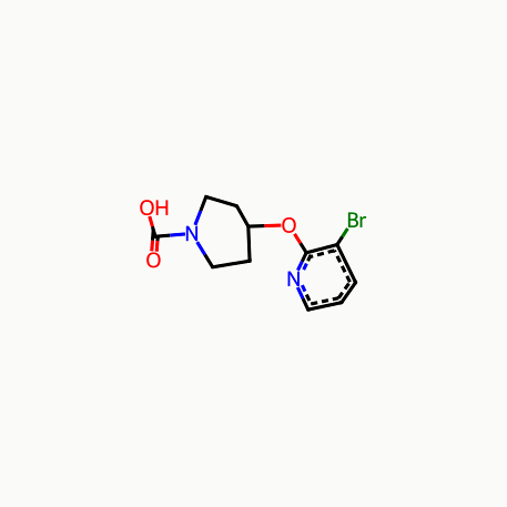 O=C(O)N1CCC(Oc2ncccc2Br)CC1